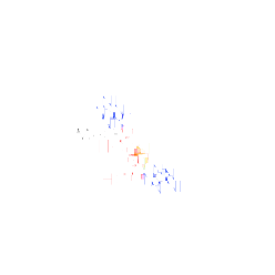 COC1C(O)[C@@H](COP(=O)(S)OC2C(F)[C@H](n3cnc4c(N)ncnc43)O[C@@H]2CO)O[C@H]1n1cnc2c(N)ncnc21